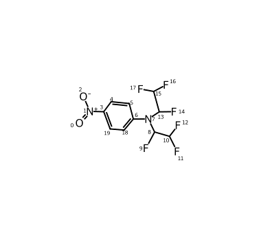 O=[N+]([O-])c1ccc(N(C(F)C(F)F)C(F)C(F)F)cc1